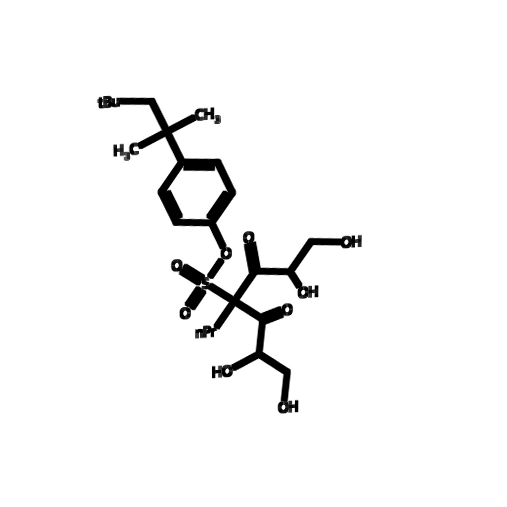 CCCC(C(=O)C(O)CO)(C(=O)C(O)CO)S(=O)(=O)Oc1ccc(C(C)(C)CC(C)(C)C)cc1